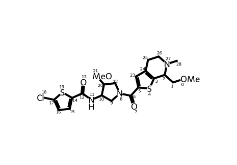 COCC1c2sc(C(=O)N3CC(NC(=O)c4ccc(Cl)s4)C(OC)C3)cc2CCN1C